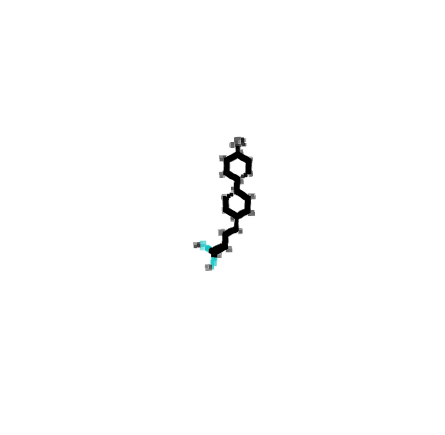 CC[C@H]1CC[C@H]([C@H]2CC[C@H](CCC=C(F)F)CC2)CC1